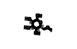 OC1O[C@H](COI)[C@@H](O)[C@H](O)[C@@H]1O